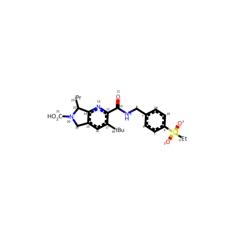 CCS(=O)(=O)c1ccc(CNC(=O)c2nc3c(cc2C(C)(C)C)CN(C(=O)O)C3C(C)C)cc1